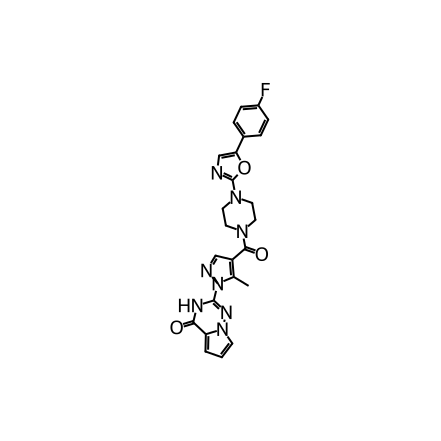 Cc1c(C(=O)N2CCN(c3ncc(-c4ccc(F)cc4)o3)CC2)cnn1-c1nn2cccc2c(=O)[nH]1